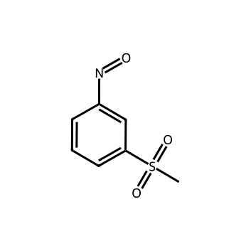 CS(=O)(=O)c1cccc(N=O)c1